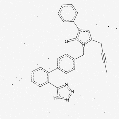 CC#CCc1cn(-c2ccccc2)c(=O)n1Cc1ccc(-c2ccccc2-c2nnn[nH]2)cc1